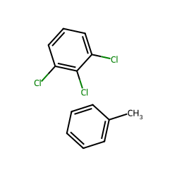 Cc1ccccc1.Clc1cccc(Cl)c1Cl